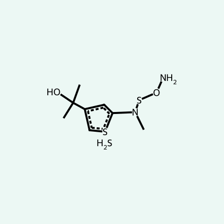 CN(SON)c1cc(C(C)(C)O)cs1.S